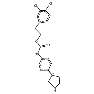 O=C(Nc1ccc([C@H]2CCNC2)cc1)OCCc1ccc(Cl)c(Cl)c1